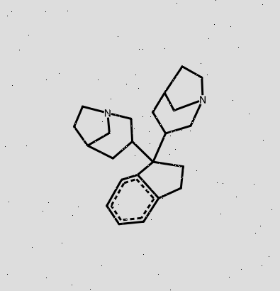 c1ccc2c(c1)CCC2(C1CC2CCN(C2)C1)C1CC2CCN(C2)C1